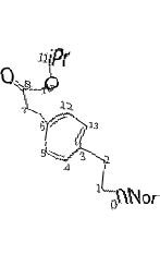 CCCCCCCCCCCc1ccc(CC(=O)OC(C)C)cc1